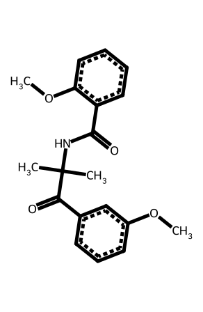 COc1cccc(C(=O)C(C)(C)NC(=O)c2ccccc2OC)c1